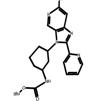 CC(C)(C)OC(=O)NC1CCCC(n2c(-c3ccccn3)nc3cc(C#N)ncc32)C1